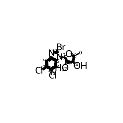 C[C@@H]1O[C@H](n2c(Br)nc3cc(Cl)c(Cl)cc32)[C@@H](O)[C@H]1O